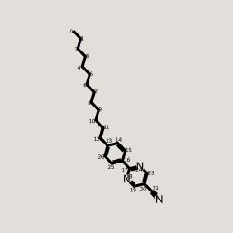 CCCCCCCCCCCCCc1ccc(-c2ncc(C#N)cn2)cc1